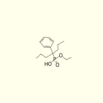 CCCC(CCC)(c1ccccc1)P(=O)(O)OCC